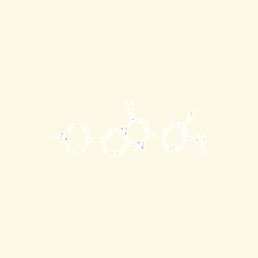 COc1ccc(-c2cc(=O)n3cc(C4=CCN(C)CC4)ccc3n2)cc1F